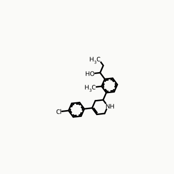 CCC(O)c1cccc(C2CC(c3ccc(Cl)cc3)=CCN2)c1C